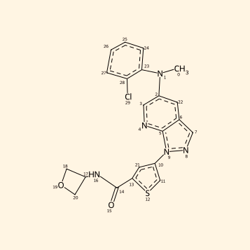 CN(c1cnc2c(cnn2-c2csc(C(=O)NC3COC3)c2)c1)c1ccccc1Cl